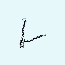 CC/C=C/C/C=C/C/C=C/CCCSSCC(CN(C)C)NC(=O)CCC/C=C/C/C=C/C/C=C/CC